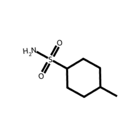 CC1CCC(S(N)(=O)=O)CC1